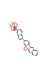 CC1(C)OB(c2ccc3cc(-c4ccc5c(c4)oc4cc6ccccc6cc45)ccc3c2)OC1(C)C